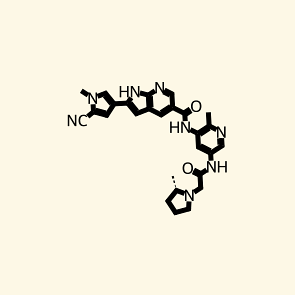 Cc1ncc(NC(=O)CN2CCC[C@@H]2C)cc1NC(=O)c1cnc2[nH]c(-c3cc(C#N)n(C)c3)cc2c1